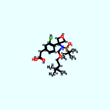 CC(C)(C)[S+]([O-])N(COCC[Si](C)(C)C)C1(c2ccc(CC(=O)O)cc2Cl)COC1